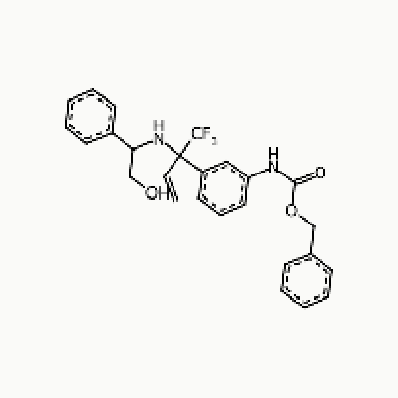 C=CC(NC(CO)c1ccccc1)(c1cccc(NC(=O)OCc2ccccc2)c1)C(F)(F)F